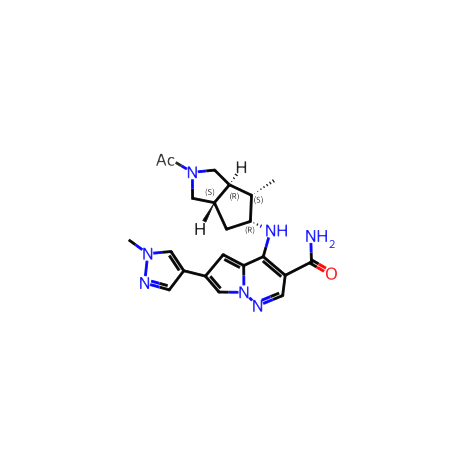 CC(=O)N1C[C@H]2C[C@@H](Nc3c(C(N)=O)cnn4cc(-c5cnn(C)c5)cc34)[C@@H](C)[C@@H]2C1